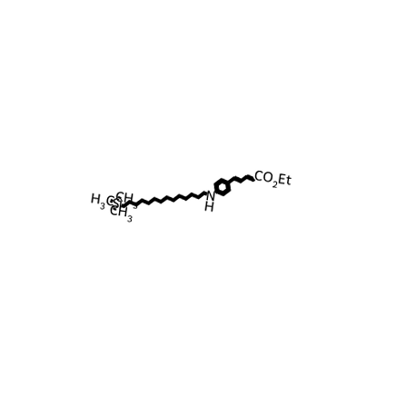 CCOC(=O)C=CC=Cc1ccc(NCCCCCCCCCCCCCC[Si](C)(C)C)cc1